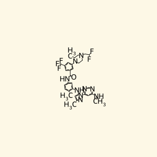 CNc1cc(-n2nc(C)cc2Nc2cc(NC(=O)c3cc(N4CCN(CC(F)F)C[C@@H]4C)cc(C(F)(F)F)c3)ccc2C)ncn1